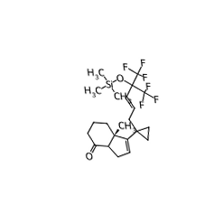 C[C@]12CCCC(=O)C1CC=C2C1(C/C=C/C(O[Si](C)(C)C)(C(F)(F)F)C(F)(F)F)CC1